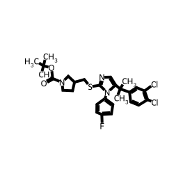 CC(C)(C)OC(=O)N1CCC(CSc2ncc(C(C)(C)c3ccc(Cl)c(Cl)c3)n2-c2ccc(F)cc2)C1